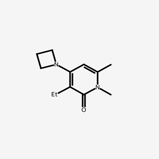 CCc1c(N2CCC2)cc(C)n(C)c1=O